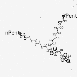 CCCCCSCSCCCCCCCCC1(CCCCCCCCSCSCCCCC)OCC(CCOS(C)(=O)=O)O1